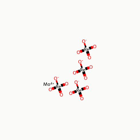 [Mo+4].[O]=[Re](=[O])(=[O])[O-].[O]=[Re](=[O])(=[O])[O-].[O]=[Re](=[O])(=[O])[O-].[O]=[Re](=[O])(=[O])[O-]